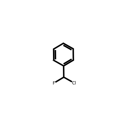 FC(Cl)c1[c]cccc1